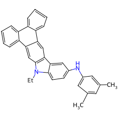 CCn1c2ccc(Nc3cc(C)cc(C)c3)cc2c2cc3c4ccccc4c4ccccc4c3cc21